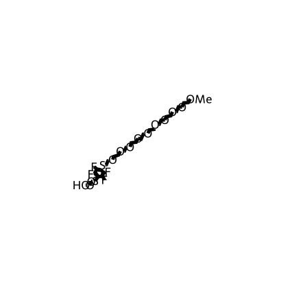 COCCOCCOCCOCCOCCOCCOCCOCCOCCOCCSc1c(F)c(F)c(SOOO)c(F)c1F